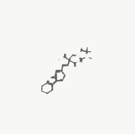 CN1C(=O)N(CC(CC(=O)c2ccc3c4c(oc3c2)CCCC4)(C(=O)O)C(=O)O)C(=O)C1(C)C